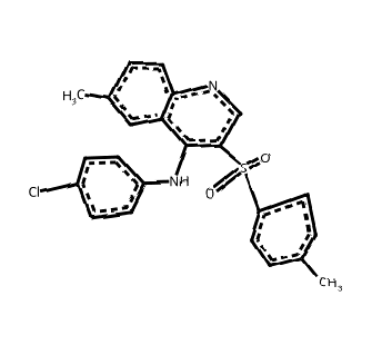 Cc1ccc(S(=O)(=O)c2cnc3ccc(C)cc3c2Nc2ccc(Cl)cc2)cc1